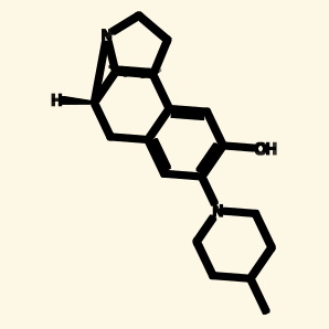 CC1CCN(c2cc3c(cc2O)[C@]24CCCC[C@]25[C@H](C3)N5CC4)CC1